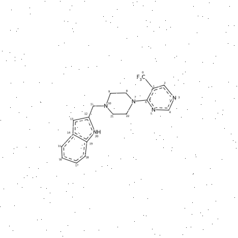 FC(F)(F)c1cncnc1N1CCN(Cc2cc3ccccc3[nH]2)CC1